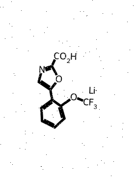 O=C(O)c1ncc(-c2ccccc2OC(F)(F)F)o1.[Li]